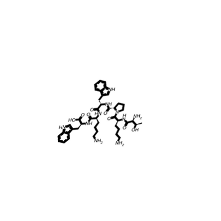 C[C@@H](O)[C@H](N)C(=O)N[C@@H](CCCCN)C(=O)N1CCC[C@H]1C(=O)N[C@@H](Cc1c[nH]c2ccccc12)C(=O)N[C@@H](CCCCN)C(=O)N[C@@H](Cc1c[nH]c2ccccc12)C(=O)O